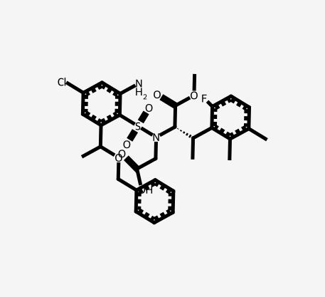 COC(=O)[C@H](C(C)c1c(F)ccc(C)c1C)N(CC(=O)O)S(=O)(=O)c1c(N)cc(Cl)cc1C(C)OCc1ccccc1